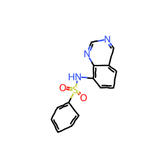 O=S(=O)(Nc1cccc2cncnc12)c1ccccc1